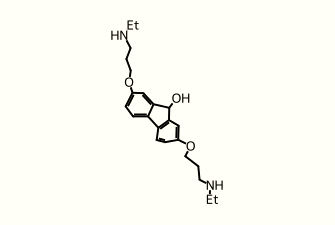 CCNCCCOc1ccc2c(c1)C(O)c1cc(OCCCNCC)ccc1-2